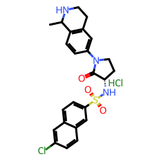 CC1NCCc2cc(N3CC[C@H](NS(=O)(=O)c4ccc5cc(Cl)ccc5c4)C3=O)ccc21.Cl